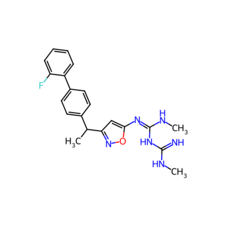 CNC(=N)NC(=Nc1cc(C(C)c2ccc(-c3ccccc3F)cc2)no1)NC